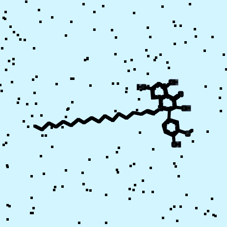 CCCCCCCCCCCCCCCCC=Cn1c(-c2ccc(O)c(OC)c2)c(O)c(=O)c2c(O)cc(O)cc21